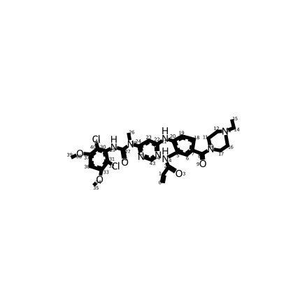 C=CC(=O)Nc1cc(C(=O)N2CCN(CC)CC2)ccc1Nc1cc(N(C)C(=O)Nc2c(Cl)c(OC)cc(OC)c2Cl)ncn1